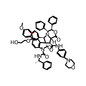 COc1ccc(-c2ccc3c(c2)[C@]2(C(=O)N3C(=O)N[C@@H](C)c3ccccc3)[C@H](C(=O)Nc3ccc(N4CCOCC4)cc3)[C@H]3C(=O)O[C@H](c4ccccc4)[C@H](c4ccccc4)N3[C@@H]2c2cccc(OCCO)c2)cc1